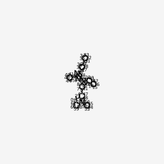 CC1(C)C2=CC(c3ccc4c(c3)c3c5ccccc5ccc3n4-c3cc(-c4ccc(-c5ccccc5)cc4)nc(-c4ccccc4)n3)CC=C2N(c2ccccc2)C2C=CC=CC21